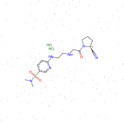 CN(C)S(=O)(=O)c1ccc(NCCNCC(=O)N2CCC[C@H]2C#N)nc1.Cl.Cl